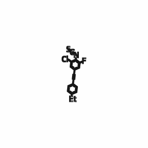 CCc1ccc(C#Cc2cc(F)c(N=C=S)c(Cl)c2)cc1